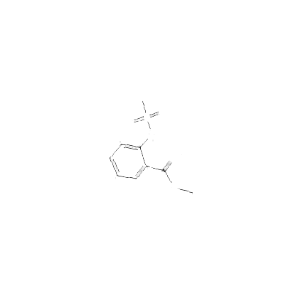 COC(=O)c1ccccc1OS(C)(=O)=O